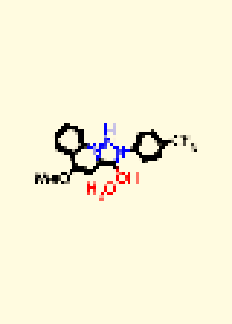 COC1=CC2=C(O)N(c3ccc(C(F)(F)F)cc3)NN2c2ccccc21.O